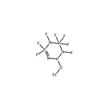 CCOP1N=P(F)(F)N(F)P(F)(F)(F)N1F